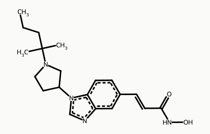 CCCC(C)(C)N1CCC(n2cnc3cc(C=CC(=O)NO)ccc32)C1